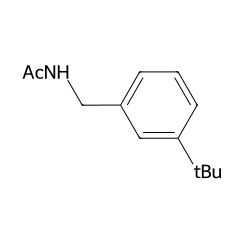 CC(=O)NCc1cccc(C(C)(C)C)c1